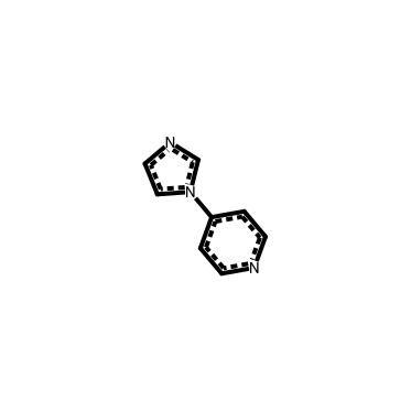 c1cc(-n2ccnc2)ccn1